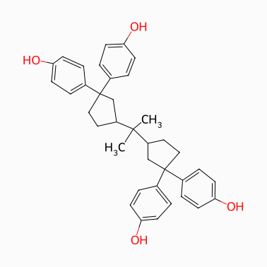 CC(C)(C1CCC(c2ccc(O)cc2)(c2ccc(O)cc2)C1)C1CCC(c2ccc(O)cc2)(c2ccc(O)cc2)C1